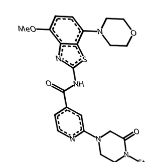 CCN1CCN(c2cc(C(=O)Nc3nc4c(OC)ccc(N5CCOCC5)c4s3)ccn2)CC1=O